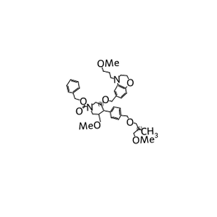 COCCCN1CCOc2ccc(CO[C@H]3CN(C(=O)OCc4ccccc4)CC(COC)C3c3ccc(COC[C@@H](C)COC)cc3)cc21